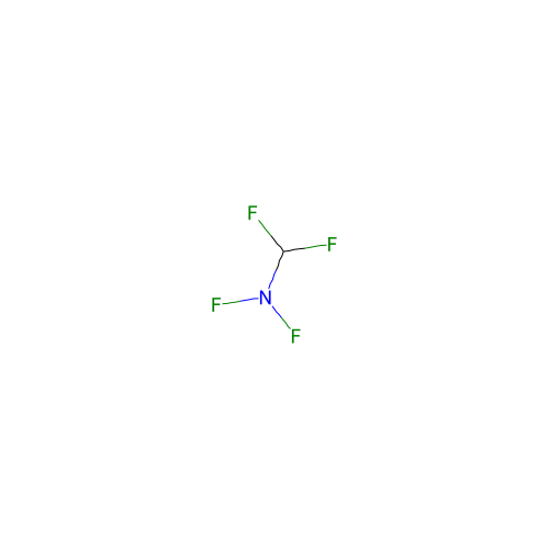 FC(F)N(F)F